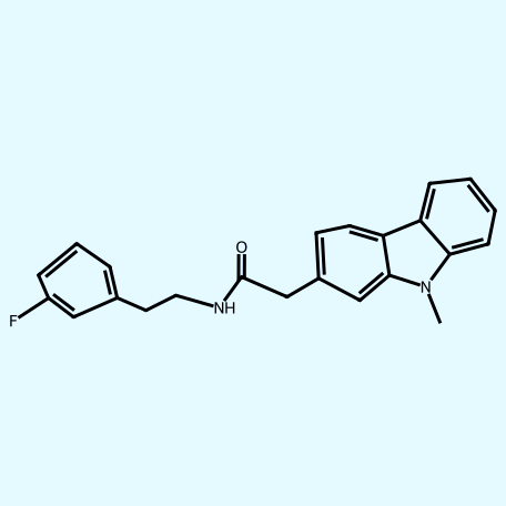 Cn1c2ccccc2c2ccc(CC(=O)NCCc3cccc(F)c3)cc21